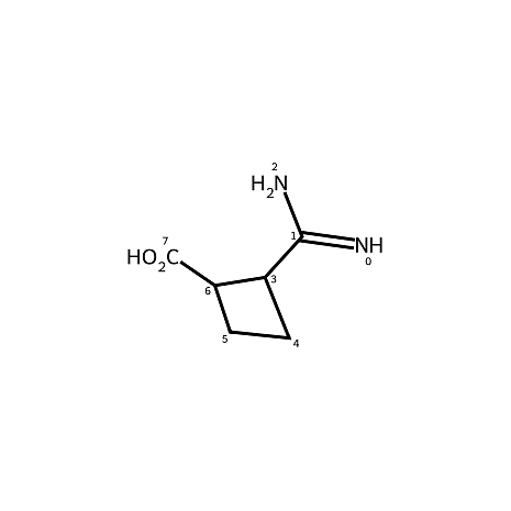 N=C(N)C1CCC1C(=O)O